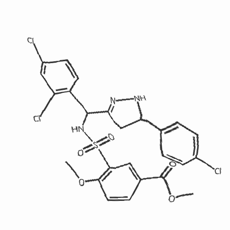 COC(=O)c1ccc(OC)c(S(=O)(=O)NC(C2=NNC(c3ccc(Cl)cc3)C2)c2ccc(Cl)cc2Cl)c1